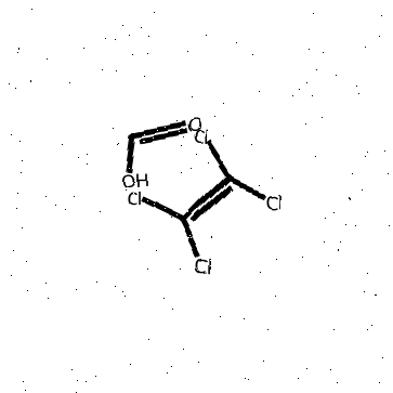 ClC(Cl)=C(Cl)Cl.O=CO